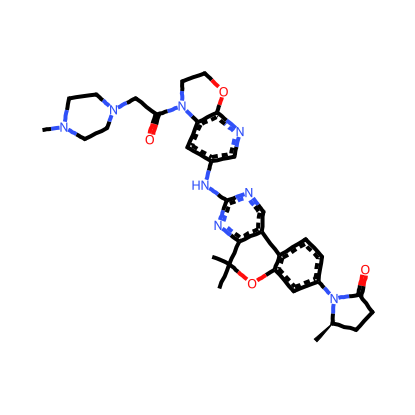 C[C@@H]1CCC(=O)N1c1ccc2c(c1)OC(C)(C)c1nc(Nc3cnc4c(c3)N(C(=O)CN3CCN(C)CC3)CCO4)ncc1-2